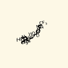 C[C@@H](COC[C@@H](O)C(=O)N1CCN(c2ncc(C(F)(F)F)cn2)CC1)Oc1cn[nH]c(=O)c1Br